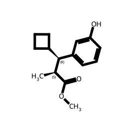 COC(=O)[C@@H](C)[C@H](c1cccc(O)c1)C1CCC1